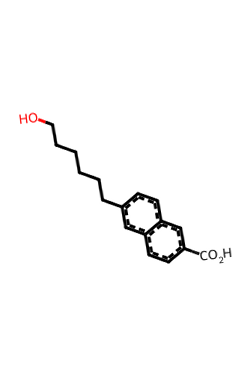 O=C(O)c1ccc2cc(CCCCCCO)ccc2c1